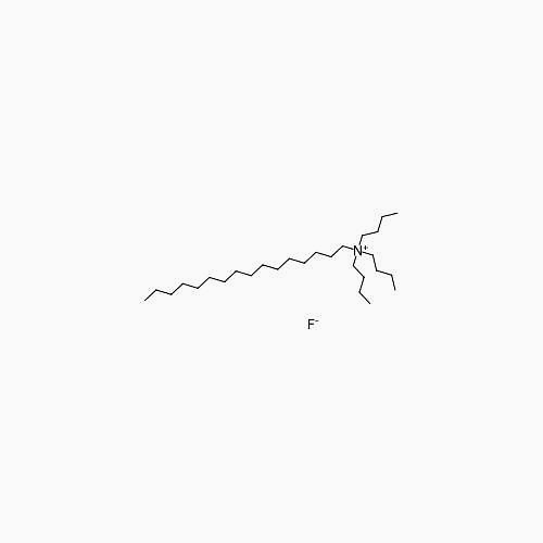 CCCCCCCCCCCCCCCC[N+](CCCC)(CCCC)CCCC.[F-]